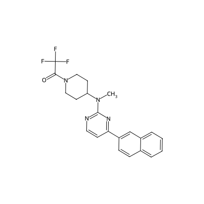 CN(c1nccc(-c2ccc3ccccc3c2)n1)C1CCN(C(=O)C(F)(F)F)CC1